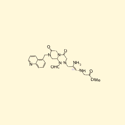 COC(=O)CN/C=C(\N)CN1CC(=O)N2CC(=O)N(Cc3cccc4ncccc34)CC2N1C=O